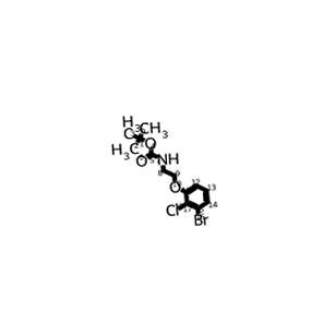 CC(C)(C)OC(=O)NCCOc1cccc(Br)c1Cl